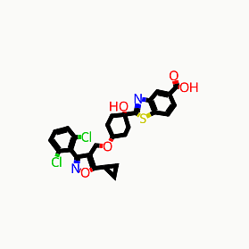 O=C(O)c1ccc2sc(C3(O)CCC(OCc4c(-c5c(Cl)cccc5Cl)noc4C4CC4)CC3)nc2c1